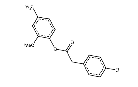 COc1cc(C)ccc1OC(=O)Cc1ccc(Cl)cc1